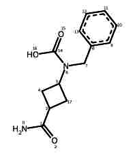 NC(=O)C1CC(N(Cc2ccccc2)C(=O)O)C1